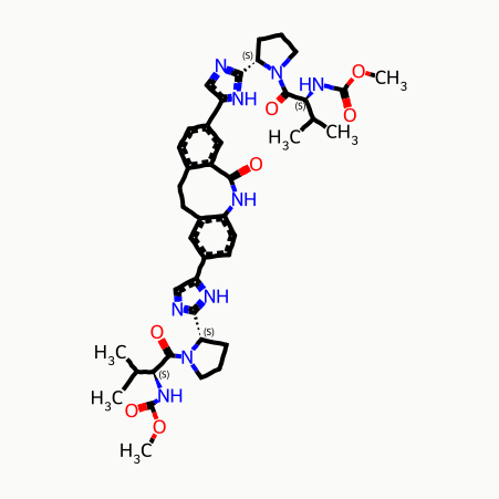 COC(=O)N[C@H](C(=O)N1CCC[C@H]1c1ncc(-c2ccc3c(c2)CCc2ccc(-c4cnc([C@@H]5CCCN5C(=O)[C@@H](NC(=O)OC)C(C)C)[nH]4)cc2C(=O)N3)[nH]1)C(C)C